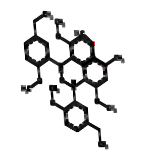 CCc1ccc(OC)c([SiH](O[SiH](c2cc(CC)ccc2OC)c2cc(CC)ccc2OC)c2cc(CC)ccc2OC)c1